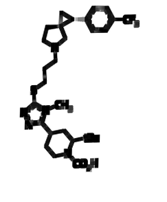 Cn1c(SCCCN2CC[C@]3(C[C@@H]3c3ccc(C(F)(F)F)cc3)C2)nnc1C1CCN(C(=O)O)C(C(C)(C)C)C1